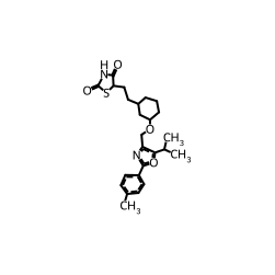 Cc1ccc(-c2nc(COC3CCCC(CCC4SC(=O)NC4=O)C3)c(C(C)C)o2)cc1